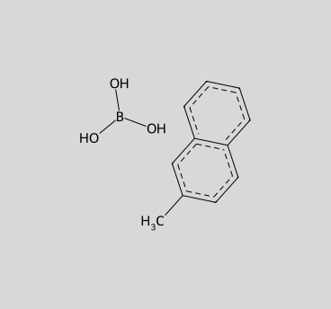 Cc1ccc2ccccc2c1.OB(O)O